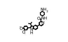 COc1ccc(-c2[nH]c3ccc(-c4ccnc(C(=O)NC5CCC(N)CC5)c4)cc3c2C(C)C)cc1OC